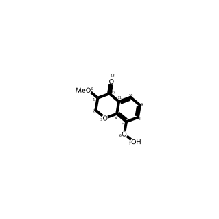 COC1COc2c(OO)cccc2C1=O